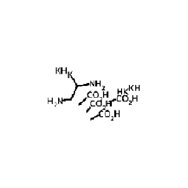 CC(=O)O.CC(=O)O.CC(=O)O.CC(=O)O.NC[CH](N)[K].[KH].[KH].[KH]